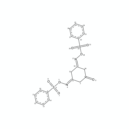 O=C1CC(=NOS(=O)(=O)c2ccccc2)CC(=NOS(=O)(=O)c2ccccc2)C1